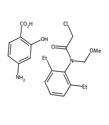 CCc1cccc(CC)c1N(COC)C(=O)CCl.Nc1ccc(C(=O)O)c(O)c1